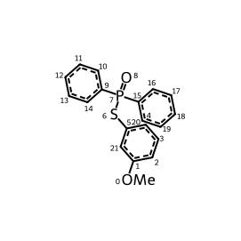 COc1cccc(SP(=O)(c2ccccc2)c2ccccc2)c1